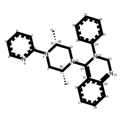 C[C@@H]1CN(c2ccccn2)[C@H](C)CN1C1=c2ccccc2=NCN1c1ccccc1